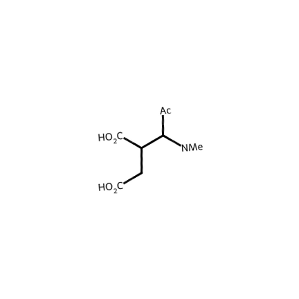 CNC(C(C)=O)C(CC(=O)O)C(=O)O